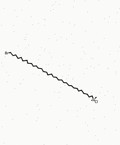 C[Si](C)(Cl)CCCCCCCCCCCCCCCCCCCCCCCCCCCCCCCCCBr